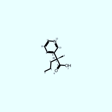 CCC[C@@](C)(C(=O)O)c1cccnc1